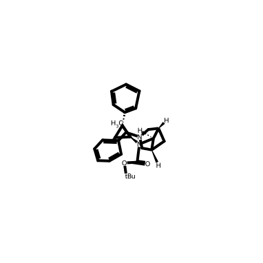 C[C@H](c1ccccc1)N1C[C@H]2C[C@@H](C1)[C@@H]2N(C(=O)OC(C)(C)C)[C@H]1C[C@@H]1c1ccccc1